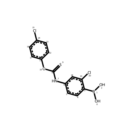 OB(O)c1ccc(NC(=S)Oc2ccc(Cl)cc2)cc1Cl